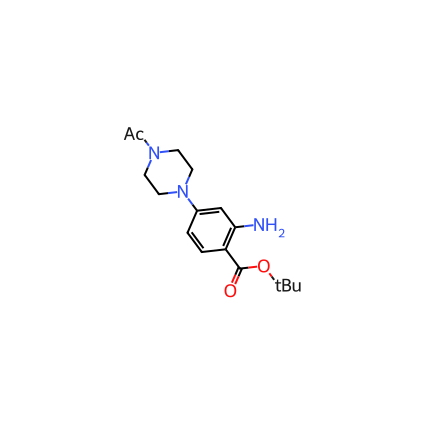 CC(=O)N1CCN(c2ccc(C(=O)OC(C)(C)C)c(N)c2)CC1